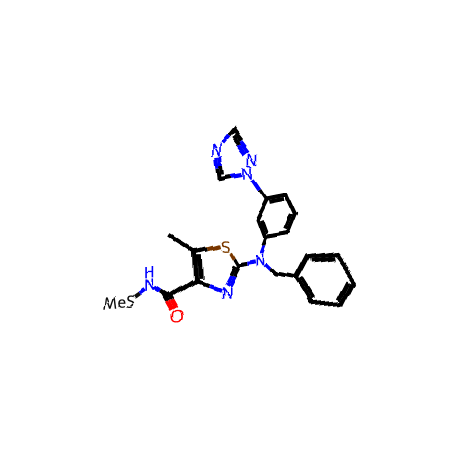 CSNC(=O)c1nc(N(Cc2ccccc2)c2cccc(-n3cncn3)c2)sc1C